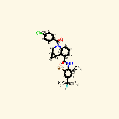 O=C(Nc1c(Br)cc(C(F)(C(F)(F)F)C(F)(F)F)cc1C(F)(F)F)c1cccc2c1C1CC1CN2C(=O)c1ccc(Cl)cc1